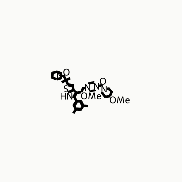 COC1CCN(C(=O)N2CCN(CC(OC)c3c(-c4cc(C)cc(C)c4)[nH]c4sc(C(C)(C)C(=O)N5C6CCC5CC6)cc34)CC2)CC1